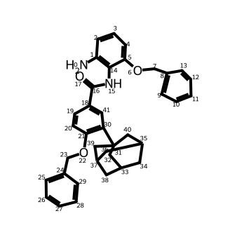 Nc1cccc(OCc2ccccc2)c1NC(=O)c1ccc(OCc2ccccc2)c(C23CC4CC(CC(C4)C2)C3)c1